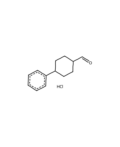 Cl.O=CC1CCC(c2ccccc2)CC1